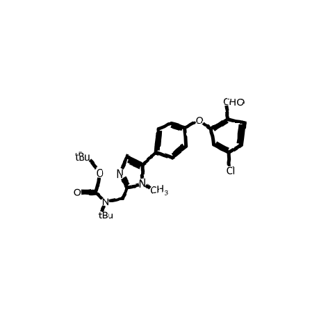 Cn1c(-c2ccc(Oc3cc(Cl)ccc3C=O)cc2)cnc1CN(C(=O)OC(C)(C)C)C(C)(C)C